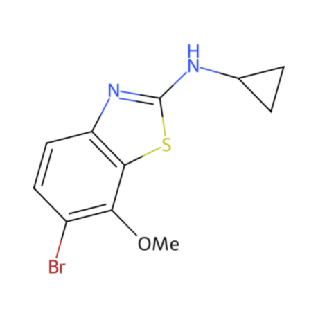 COc1c(Br)ccc2nc(NC3CC3)sc12